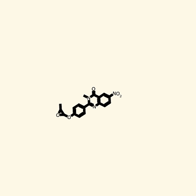 CC1OC1Oc1ccc(-c2nc3ccc([N+](=O)[O-])cc3c(=O)n2C)cc1